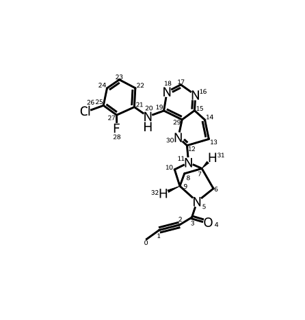 CC#CC(=O)N1C[C@@H]2C[C@H]1CN2c1ccc2ncnc(Nc3cccc(Cl)c3F)c2n1